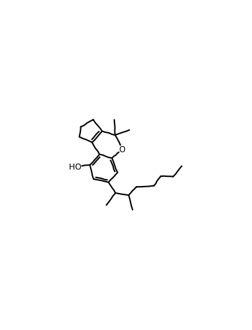 CCCCCC(C)C(C)c1cc(O)c2c(c1)OC(C)(C)C1=C2CCC1